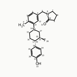 Cc1ccc(CN2CCCC2=O)cc1N1CC[C@@H](c2ccc(O)cc2)[C@H](F)C1